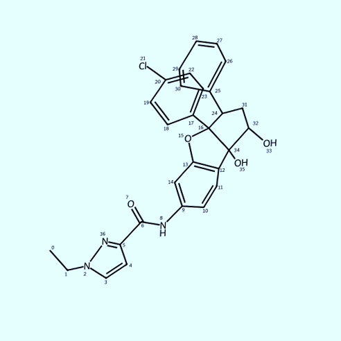 CCn1ccc(C(=O)Nc2ccc3c(c2)OC2(c4ccc(Cl)cc4)C(c4ccccc4)CC(O)C32O)n1